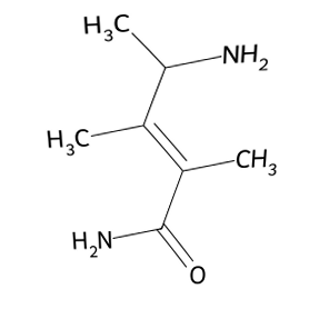 CC(C(N)=O)=C(C)C(C)N